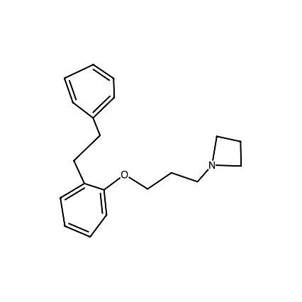 c1ccc(CCc2ccccc2OCCCN2CCC2)cc1